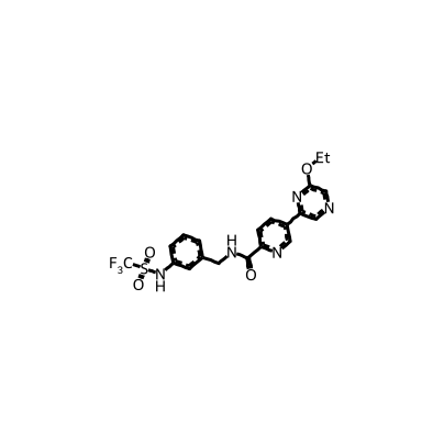 CCOc1cncc(-c2ccc(C(=O)NCc3cccc(NS(=O)(=O)C(F)(F)F)c3)nc2)n1